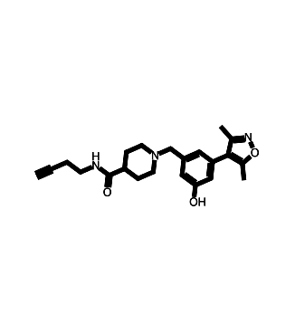 C#CCCNC(=O)C1CCN(Cc2cc(O)cc(-c3c(C)noc3C)c2)CC1